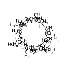 CC[C@H]1NC(=O)[C@H]([C@H](O)[C@H](C)CCCCCCO)N(C)C(=O)[C@@H](C(C)C)N(C)C(=O)[C@@H](CCC(C)C)N(C)C(=O)[C@H](CC(C)C)N(C)C(=O)[C@H](C)NC(=O)[C@@H](C)NC(=O)[C@@H](CC(C)C)N(C)C(=O)[C@@H](C(C)C)NC(=O)[C@H](CC(C)C)N(C)C(=O)CN(C)C1=O